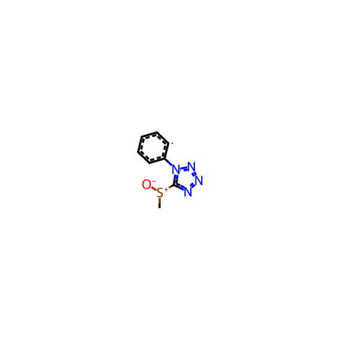 C[S+]([O-])c1nnnn1-c1[c]cccc1